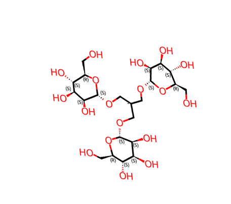 OC[C@H]1O[C@H](OC[C](CO[C@H]2O[C@H](CO)[C@@H](O)[C@H](O)[C@@H]2O)CO[C@H]2O[C@H](CO)[C@@H](O)[C@H](O)[C@@H]2O)[C@@H](O)[C@@H](O)[C@@H]1O